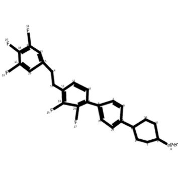 CCCCCC1CCC(c2ccc(-c3ccc(CCc4cc(F)c(F)c(F)c4)c(F)c3F)cc2)CC1